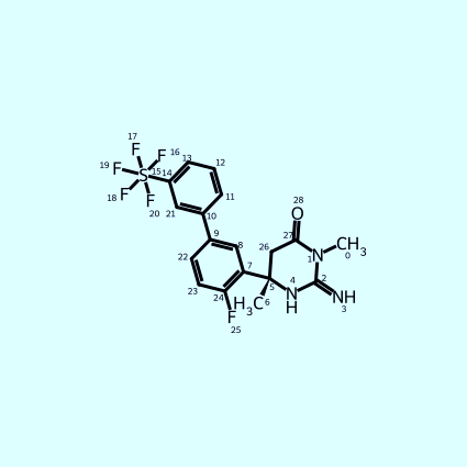 CN1C(=N)N[C@](C)(c2cc(-c3cccc(S(F)(F)(F)(F)F)c3)ccc2F)CC1=O